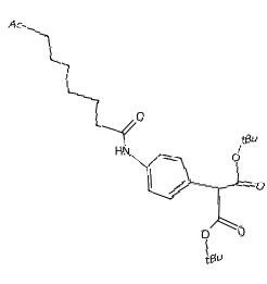 CC(=O)CCCCCCC(=O)Nc1ccc(C(C(=O)OC(C)(C)C)C(=O)OC(C)(C)C)cc1